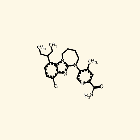 CCC(CC)c1ccc(Cl)c2nc3n(c12)CCCCN3c1cnc(C(N)=O)cc1C